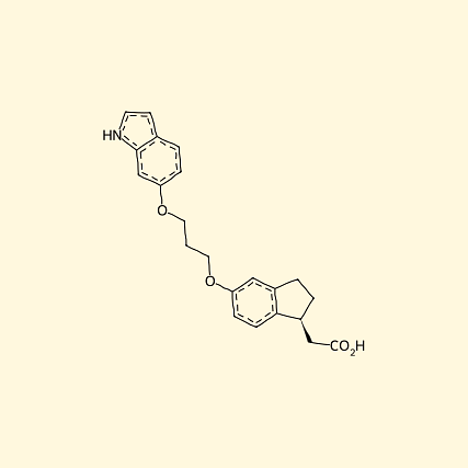 O=C(O)C[C@@H]1CCc2cc(OCCCOc3ccc4cc[nH]c4c3)ccc21